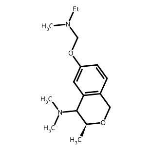 CCN(C)COc1ccc2c(c1)C(N(C)C)[C@H](C)OC2